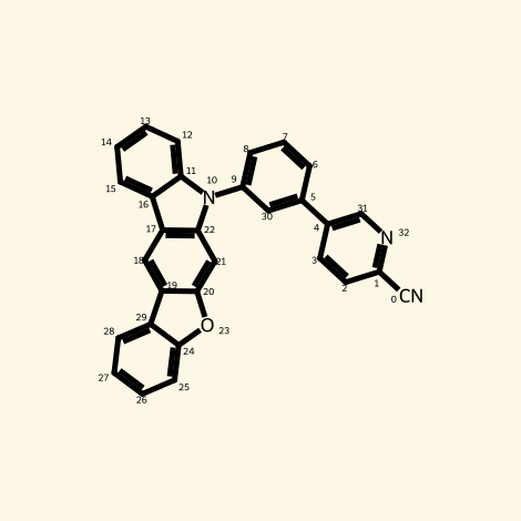 N#Cc1ccc(-c2cccc(-n3c4ccccc4c4cc5c(cc43)oc3ccccc35)c2)cn1